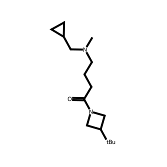 CN(CCCC(=O)N1CC(C(C)(C)C)C1)CC1CC1